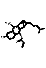 C=CC(=O)Oc1c2c(c(OC)c3cc(Cl)ccc13)C1C=C(CCC=C(C)C)C2C1